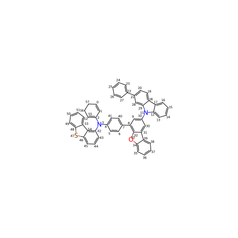 C1=CC(N(c2ccc(-c3cc(-n4c5ccccc5c5ccc(-c6ccccc6)cc54)cc4c3oc3ccccc34)cc2)c2cccc3sc4ccccc4c23)=CCC1